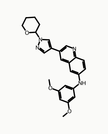 COc1cc(Nc2ccc3ncc(-c4cnn(C5CCCCO5)c4)cc3c2)cc(OC)c1